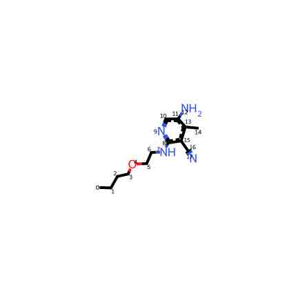 CCCCOCCNc1ncc(N)c(C)c1C#N